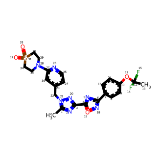 Cc1nc(-c2nc(-c3ccc(OC(C)(F)F)cc3)no2)nn1Cc1ccnc(N2CCS(=O)(=O)CC2)c1